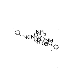 NCCCCC(NC(=O)OCc1ccccc1)C(=O)c1noc(C(=O)N2CCN(CCCc3ccccc3)CC2)n1